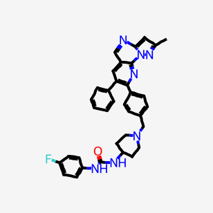 Cc1cc2ncc3cc(-c4ccccc4)c(-c4ccc(CN5CCC(NC(=O)Nc6ccc(F)cc6)CC5)cc4)nc3n2n1